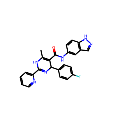 CC1=C(C(=O)Nc2ccc3[nH]ncc3c2)C(c2ccc(F)cc2)N=C(c2ccccn2)N1